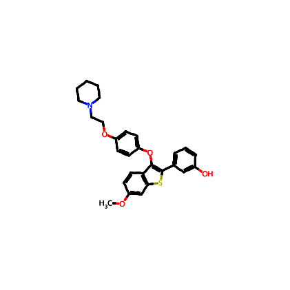 COc1ccc2c(Oc3ccc(OCCN4CCCCC4)cc3)c(-c3cccc(O)c3)sc2c1